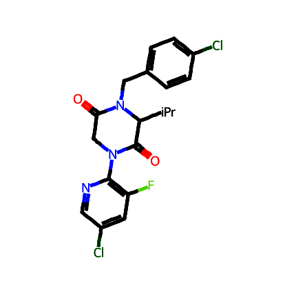 CC(C)C1C(=O)N(c2ncc(Cl)cc2F)CC(=O)N1Cc1ccc(Cl)cc1